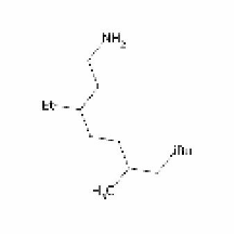 CCC(C)CC(C)CCC(CC)CCN